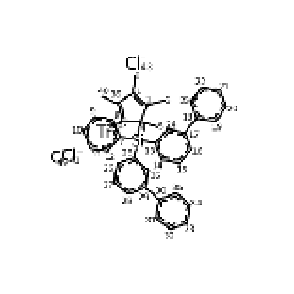 CC1=C(C)C(C)([Si](c2ccccc2)(c2cccc(-c3ccccc3)c2)c2cccc(-c3ccccc3)c2)[C]([Ti+3])=C1C.[Cl-].[Cl-].[Cl-]